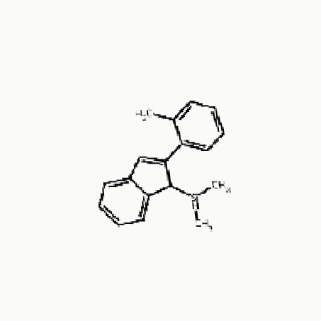 Cc1ccccc1C1=Cc2ccccc2C1[SiH](C)C